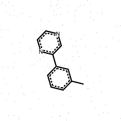 Cc1cccc(-c2cnccn2)c1